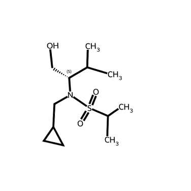 CC(C)[C@@H](CO)N(CC1CC1)S(=O)(=O)C(C)C